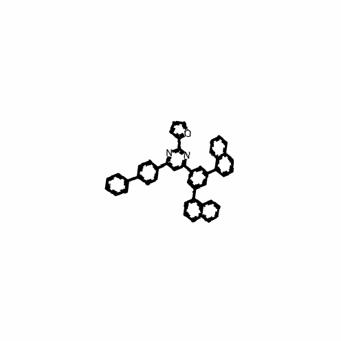 c1ccc(-c2ccc(-c3cc(-c4cc(-c5cccc6ccccc56)cc(-c5cccc6ccccc56)c4)nc(-c4ccco4)n3)cc2)cc1